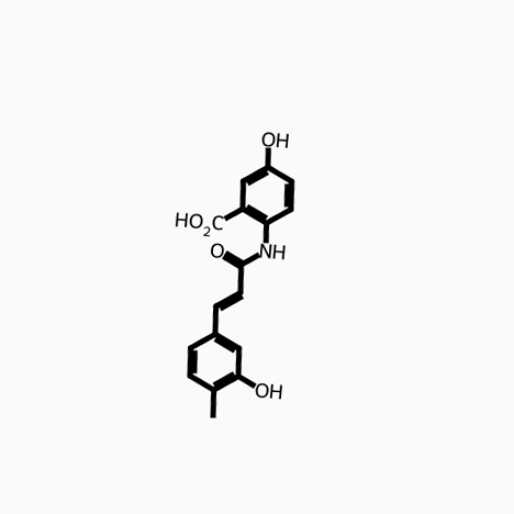 Cc1ccc(/C=C/C(=O)Nc2ccc(O)cc2C(=O)O)cc1O